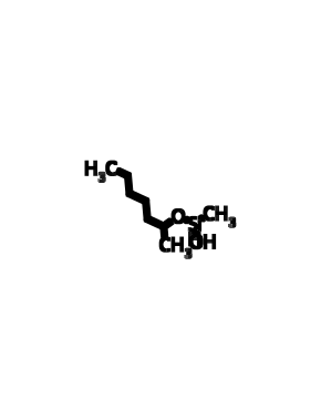 CCCCCC(C)O[SiH](C)O